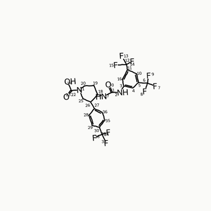 O=C(Nc1cc(C(F)(F)F)cc(C(F)(F)F)c1)N[C@@H]1CCN(C(=O)O)CC1c1ccc(C(F)(F)F)cc1